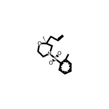 C=CC[C@@]1(C)CN(S(=O)(=O)c2ccccc2C)CCO1